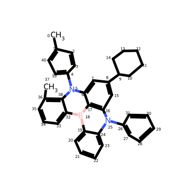 Cc1ccc(N2c3cc(C4CCCCC4)cc4c3B(c3ccccc3N4c3ccccc3)c3cccc(C)c32)cc1